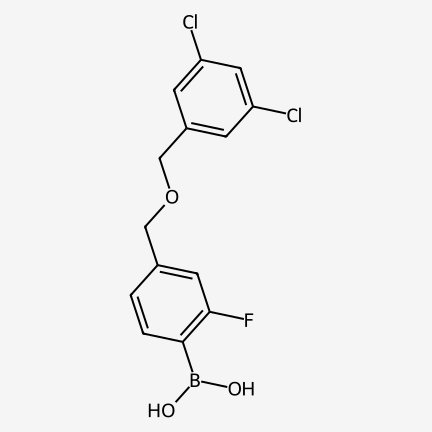 OB(O)c1ccc(COCc2cc(Cl)cc(Cl)c2)cc1F